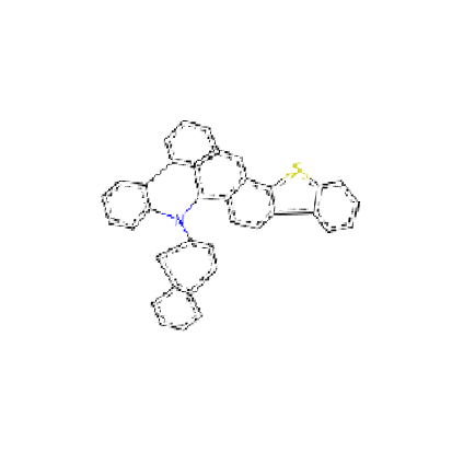 c1ccc(-c2ccccc2N(c2ccc3ccccc3c2)c2cccc3c2ccc2c4ccccc4sc32)cc1